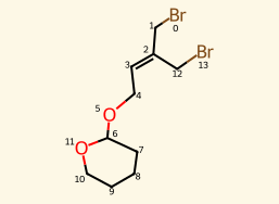 BrCC(=CCOC1CCCCO1)CBr